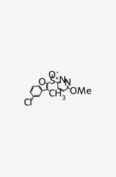 COc1ccc([S+]([O-])c2oc3ccc(Cl)cc3c2C)nn1